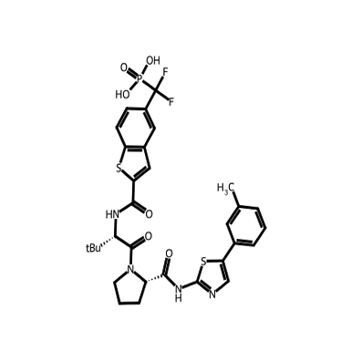 Cc1cccc(-c2cnc(NC(=O)[C@@H]3CCCN3C(=O)[C@@H](NC(=O)c3cc4cc(C(F)(F)P(=O)(O)O)ccc4s3)C(C)(C)C)s2)c1